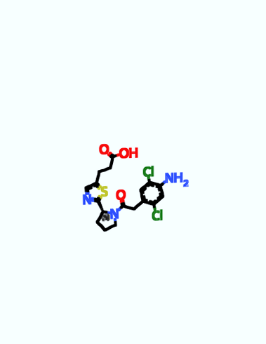 Nc1cc(Cl)c(CC(=O)N2CCC[C@H]2c2ncc(CCC(=O)O)s2)cc1Cl